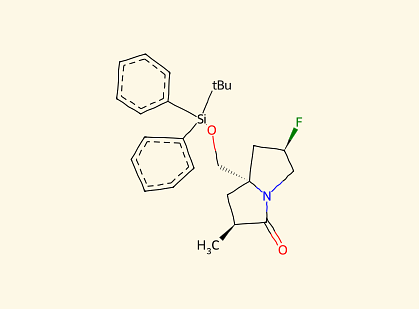 C[C@H]1C[C@@]2(CO[Si](c3ccccc3)(c3ccccc3)C(C)(C)C)C[C@@H](F)CN2C1=O